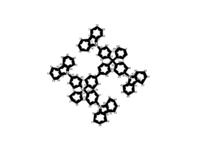 c1ccc(C(c2ccc(-c3ccc([Si](c4ccccc4)(c4ccc(-n5c6ccccc6c6ccccc65)cc4)c4ccc(-n5c6ccccc6c6ccccc65)cc4)cc3)cc2)(c2ccc(-n3c4ccccc4c4ccccc43)cc2)c2ccc(-n3c4ccccc4c4ccccc43)cc2)cc1